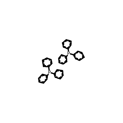 c1ccc(P(c2ccccc2)c2ccccc2)cc1.c1ccc(P(c2ccccc2)c2ccccc2)cc1